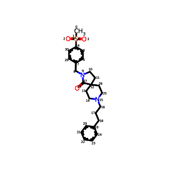 CS(=O)(=O)c1ccc(CN2CCC3(CCN(CCCc4ccccc4)CC3)C2=O)cc1